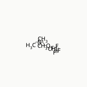 CC[N+](C)(C)CCOC.F[B-](F)(F)F